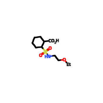 CCOCCNS(=O)(=O)C1CCCCC1C(=O)O